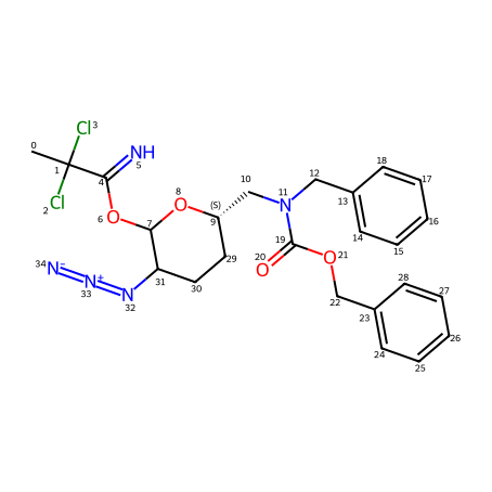 CC(Cl)(Cl)C(=N)OC1O[C@H](CN(Cc2ccccc2)C(=O)OCc2ccccc2)CCC1N=[N+]=[N-]